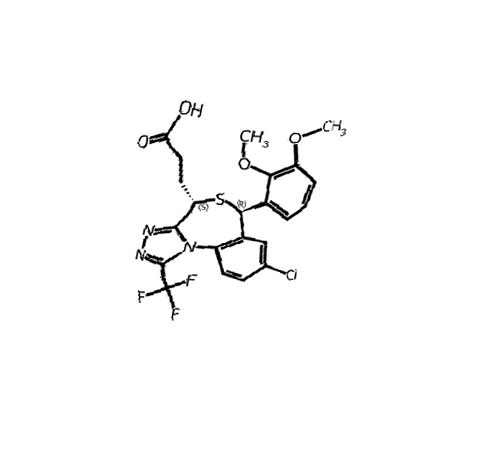 COc1cccc([C@@H]2S[C@@H](CCC(=O)O)c3nnc(C(F)(F)F)n3-c3ccc(Cl)cc32)c1OC